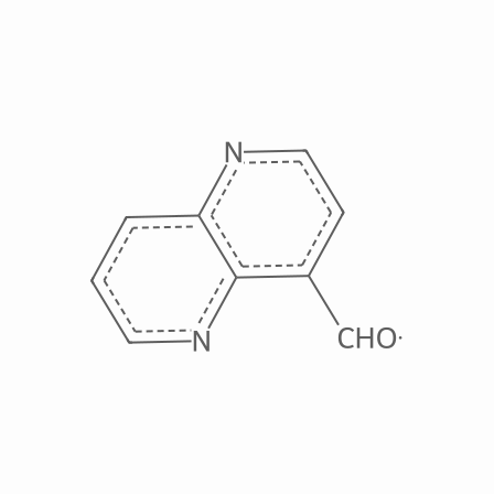 O=[C]c1ccnc2cccnc12